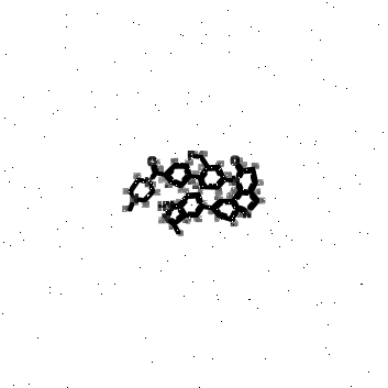 Cc1n[nH]c2ccc(-c3ccc4ncc5ccc(=O)n(-c6ccc(-c7ccc(C(=O)N8CCN(C)CC8)cc7)c(CF)c6)c5c4c3)cc12